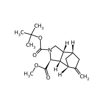 C=C1C[C@@H]2C[C@H]1[C@H]1[C@@H]2CN(C(=O)OC(C)(C)C)[C@@H]1C(=O)OC